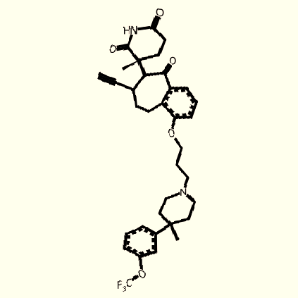 C#CC1CCc2c(OCCCN3CCC(C)(c4cccc(OC(F)(F)F)c4)CC3)cccc2C(=O)C1[C@@]1(C)CCC(=O)NC1=O